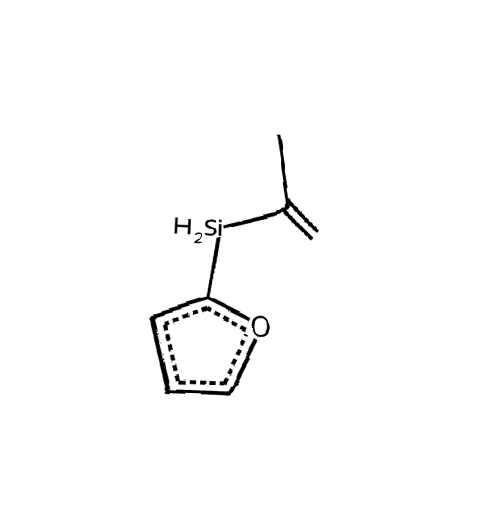 C=C(C)[SiH2]c1ccco1